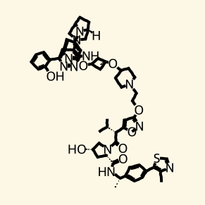 Cc1ncsc1-c1ccc([C@H](C)NC(=O)[C@@H]2C[C@H](O)CN2C(=O)[C@@H](c2cc(OCCN3CCC(OC4CC(Oc5cc(N6C7CC[C@@H]6CN(c6cc(-c8ccccc8O)nnc6N)C7)ccn5)C4)CC3)no2)C(C)C)cc1